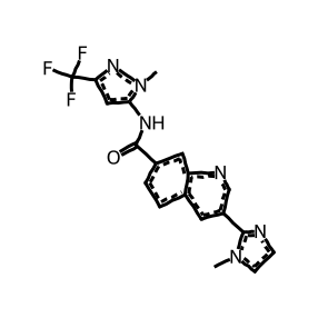 Cn1ccnc1-c1cnc2cc(C(=O)Nc3cc(C(F)(F)F)nn3C)ccc2c1